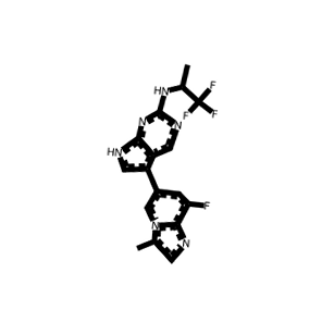 Cc1cnc2c(F)cc(-c3c[nH]c4nc(NC(C)C(F)(F)F)ncc34)cn12